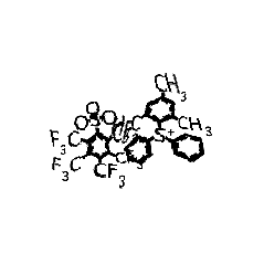 Cc1cc(C)c([S+](c2ccccc2)c2ccccc2)c(C)c1.O=S(=O)([O-])c1c(C(F)(F)F)c(C(F)(F)F)c(C(F)(F)F)c(C(F)(F)F)c1C(F)(F)F